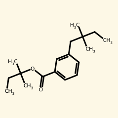 CCC(C)(C)Cc1cccc(C(=O)OC(C)(C)CC)c1